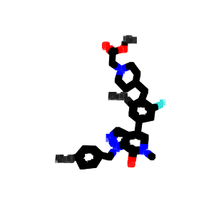 COc1ccc(Cn2ncc3c(-c4cc(F)c(CC5CCN(CC(=O)OC(C)(C)C)CC5)c(OC)c4)cn(C)c(=O)c32)cc1